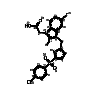 Cc1c(Cc2ccc(S(=O)(=O)c3ccc(Cl)cc3)s2)c2cc(F)ccc2n1CC(=O)O